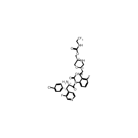 COC(=O)N(C(=O)[C@@H](N)[C@@H](c1ccc(Cl)cc1)c1ccncc1F)c1cccc(F)c1CC[C@@H]1CN[C@H](COC(=O)NCC(F)(F)F)CO1